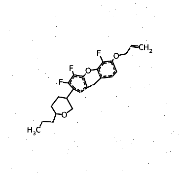 C=CCOc1ccc2c(c1F)Oc1c(cc(C3CCC(CCC)OC3)c(F)c1F)C2